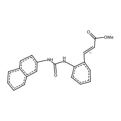 COC(=O)/C=C/c1ccccc1NC(=O)Nc1ccc2ccccc2c1